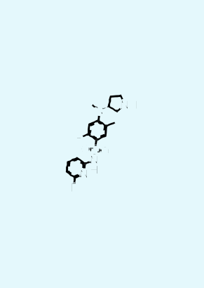 Cc1cc(S(=O)(=O)Nc2cccc(F)n2)c(F)cc1N(C)[C@H]1CCNC1